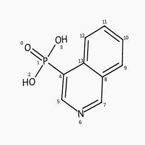 O=P(O)(O)c1cncc2ccccc12